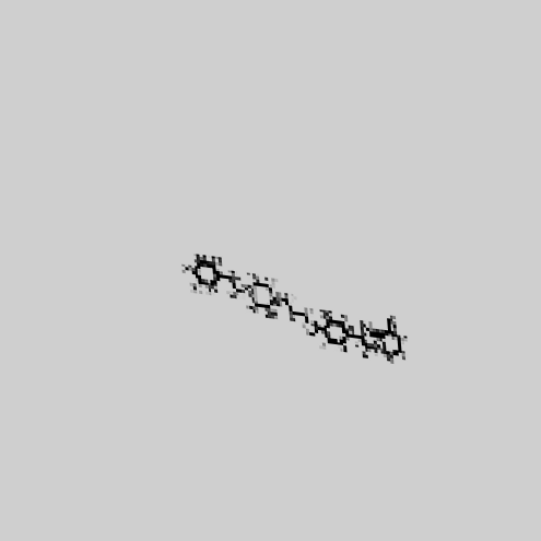 Cc1cccn2cc(-c3ccc(OCCCN4CCN(CCc5ccccc5)CC4)cc3)nc12